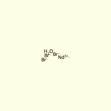 O.[Br-].[Br-].[Br-].[Nd+3]